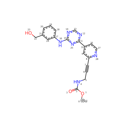 CC(C)(C)OC(=O)NCC#Cc1cc(-c2ncnc(Nc3cccc(CO)c3)n2)ccn1